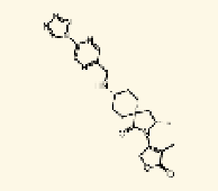 CC1=C(N2C(=O)[C@]3(CC[C@@H](NCc4cnc(-n5cnnn5)cn4)CC3)C[C@@H]2C)COC1=O